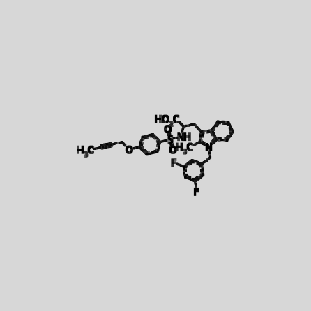 CC#CCOc1ccc(S(=O)(=O)NC(Cc2c(C)n(Cc3cc(F)cc(F)c3)c3ccccc23)C(=O)O)cc1